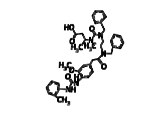 COc1cc(CC(=O)N(CCN(Cc2ccccc2)C(=O)N(C)C(C)CC(=O)O)Cc2ccccc2)ccc1NC(=O)Nc1ccccc1C